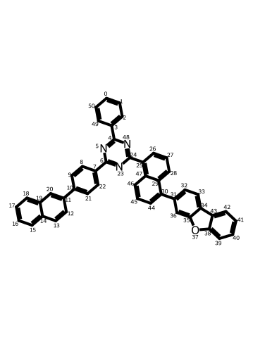 c1ccc(-c2nc(-c3ccc(-c4ccc5ccccc5c4)cc3)nc(-c3cccc4c(-c5ccc6c(c5)oc5ccccc56)cccc34)n2)cc1